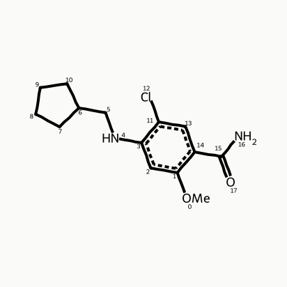 COc1cc(NCC2CCCC2)c(Cl)cc1C(N)=O